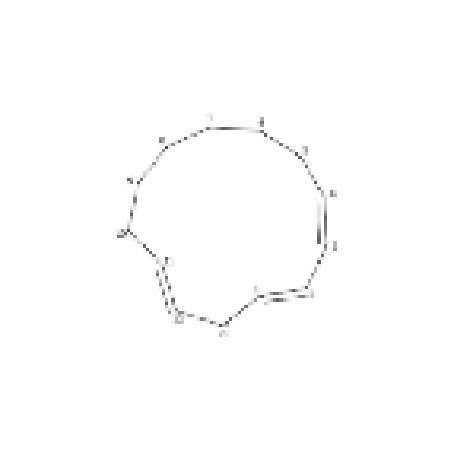 [CH]1/C=C/C=C\CCCCCC/C=C/1